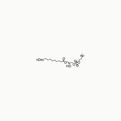 CCCCCCCCCCCCCCCCCCC(=O)OC[C@@H](O)COP(=O)([O-])OCC[N+](C)(C)C